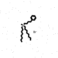 CCCCCCCC[N+](C)(CCCCCCCC)CCCCc1ccccc1.[Br-]